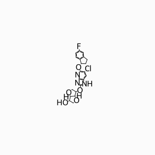 O[C@@H]1CO[C@H]2[C@@H]1OC[C@H]2Oc1nc2nc(OC3CCc4cc(F)ccc43)c(Cl)cc2[nH]1